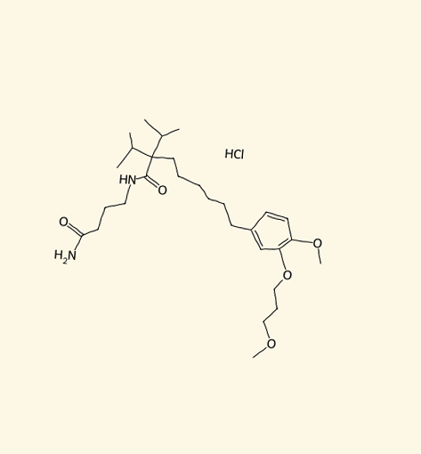 COCCCOc1cc(CCCCCCC(C(=O)NCCCC(N)=O)(C(C)C)C(C)C)ccc1OC.Cl